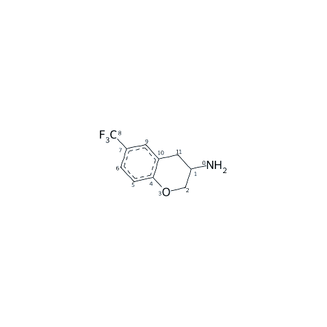 NC1COc2ccc(C(F)(F)F)cc2C1